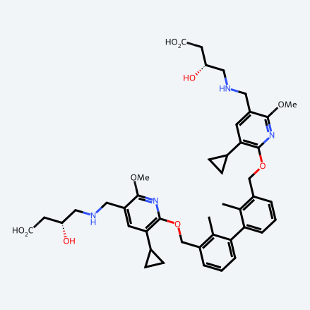 COc1nc(OCc2cccc(-c3cccc(COc4nc(OC)c(CNC[C@H](O)CC(=O)O)cc4C4CC4)c3C)c2C)c(C2CC2)cc1CNC[C@H](O)CC(=O)O